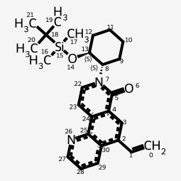 C=Cc1cc2c(=O)n([C@H]3CCCC[C@@H]3O[Si](C)(C)C(C)(C)C)ccc2c2ncccc12